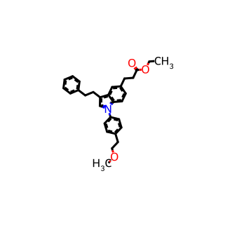 CCOC(=O)CCc1ccc2c(c1)c(CCc1ccccc1)cn2-c1ccc(CCOC)cc1